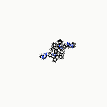 C1=Cc2nc(-c3ccc(-n4c(-c5ccccc5)c(-c5ccccc5)c5c6c7ccccc7c7c(c(-c8ccccc8)c(-c8ccccc8)n7-c7ccc(-c8cn9ccccc9n8)cc7)c6c6ccccc6c54)cc3)cn2CC1